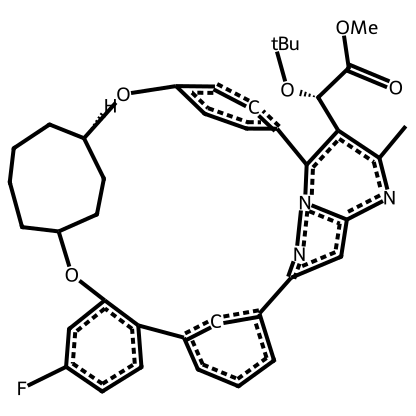 COC(=O)[C@@H](OC(C)(C)C)c1c(C)nc2cc3nn2c1-c1ccc(cc1)O[C@@H]1CCCCC(CC1)Oc1cc(F)ccc1-c1cccc-3c1